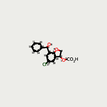 O=C(O)OC1COc2c(C(=O)c3ccccc3)cc(Cl)cc21